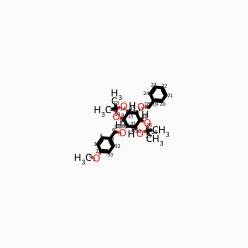 COc1ccc(CO[C@@H]2[C@H]3OC(C)(C)O[C@@H]3[C@H](OCc3ccccc3)[C@@H]3OC(C)(C)O[C@@H]23)cc1